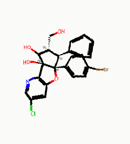 OC[C@H]1C(O)[C@@]2(O)c3ncc(Cl)cc3O[C@@]2(c2ccc(Br)cc2)[C@@H]1c1ccccc1